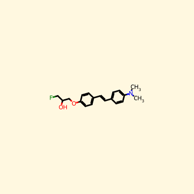 CN(C)c1ccc(/C=C/c2ccc(OCC(O)CF)cc2)cc1